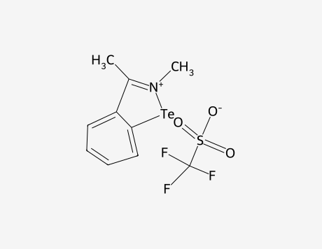 Cc1c2ccccc2[te][n+]1C.O=S(=O)([O-])C(F)(F)F